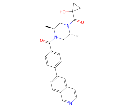 C[C@@H]1CN(C(=O)c2ccc(-c3ccc4cnccc4c3)cc2)[C@@H](C)CN1C(=O)C1(O)CC1